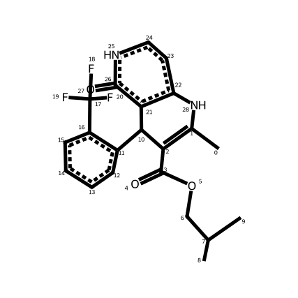 CC1=C(C(=O)OCC(C)C)C(c2ccccc2C(F)(F)F)c2c(cc[nH]c2=O)N1